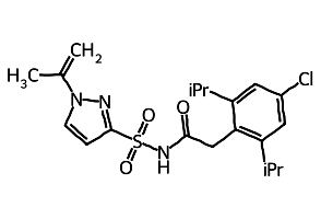 C=C(C)n1ccc(S(=O)(=O)NC(=O)Cc2c(C(C)C)cc(Cl)cc2C(C)C)n1